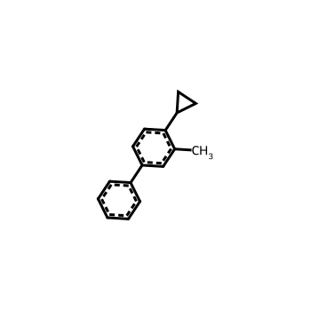 Cc1cc(-c2ccccc2)ccc1C1CC1